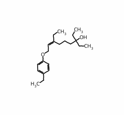 CCC(=CCOc1ccc(CC)cc1)CCCC(O)(CC)CC